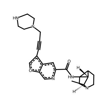 C[C@H]1[C@H](NC(=O)c2cc3c(C#CCN4CCNCC4)coc3cn2)C2CCN1CC2